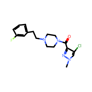 Cn1cc(Cl)c(C(=O)N2CCN(CCc3cccc(F)c3)CC2)n1